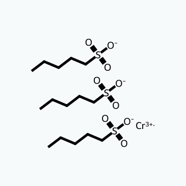 CCCCCS(=O)(=O)[O-].CCCCCS(=O)(=O)[O-].CCCCCS(=O)(=O)[O-].[Cr+3]